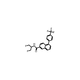 O=C(NC(CF)CF)c1ccc2c(-c3ccc(C(F)(F)F)cc3)cccc2c1